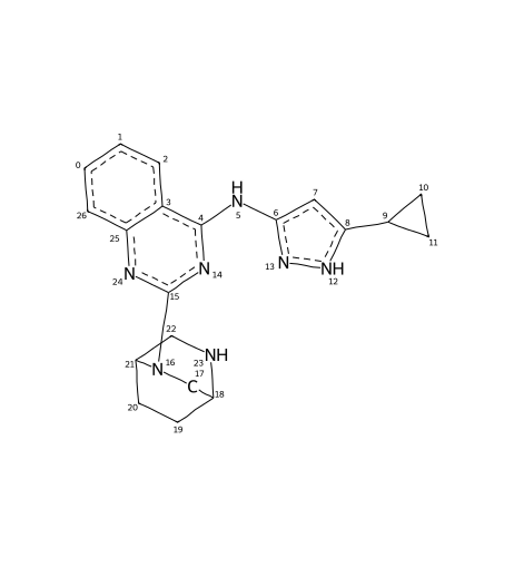 c1ccc2c(Nc3cc(C4CC4)[nH]n3)nc(N3CC4CCC3CN4)nc2c1